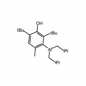 Cc1cc(C(C)(C)C)c(O)c(C(C)(C)C)[c]1[Al]([CH2]C(C)C)[CH2]C(C)C